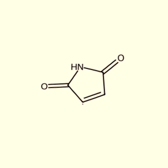 O=C1[C]=CC(=O)N1